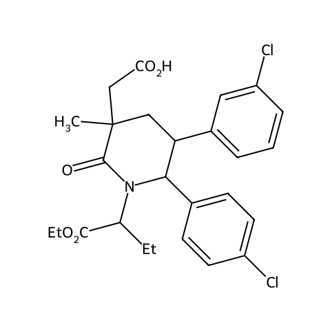 CCOC(=O)C(CC)N1C(=O)C(C)(CC(=O)O)CC(c2cccc(Cl)c2)C1c1ccc(Cl)cc1